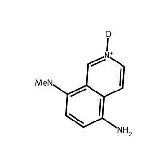 CNc1ccc(N)c2cc[n+]([O-])cc12